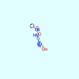 O=C(N[C@H]1C[C@@H](n2cc(CO)nn2)C1)c1cc(-c2ccccc2)on1